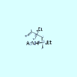 C=CC(C)(CC)CC(C)(CC)NC(C)=O